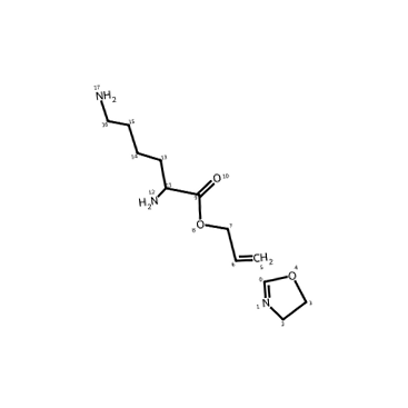 C1=NCCO1.C=CCOC(=O)C(N)CCCCN